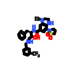 CCN1CCNc2c1cc(C(=O)N[C@@H](Cc1ccccc1)[C@H](O)CNCc1cccc(C(F)(F)F)c1)cc2N1CCCS1(=O)=O